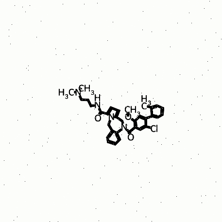 COc1cc(-c2ccccc2C)c(Cl)cc1C(=O)N1Cc2ccc(C(=O)NCCCN(C)C)n2Cc2ccccc21